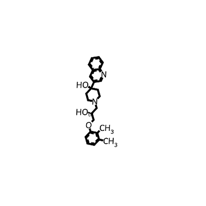 Cc1cccc(OC[C@@H](O)CN2CCC(O)(c3cnc4ccccc4c3)CC2)c1C